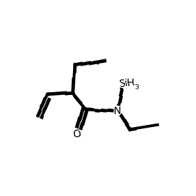 C=CC(CC)C(=O)N([SiH3])CC